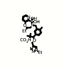 CCC1CN(Cc2cc(C(OCc3cn(CC)nn3)C(C)(C)C(=O)O)ccc2C)S(O)(O)c2ncccc2O1